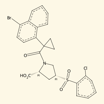 O=C(O)[C@H]1C[C@@H](S(=O)(=O)c2ccccc2Cl)CN1C(=O)C1(c2ccc(Br)c3ccccc23)CC1